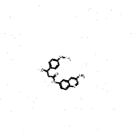 COc1ccc(C(C)CC(=O)Nc2ccc3ncc(C)cc3c2)cc1